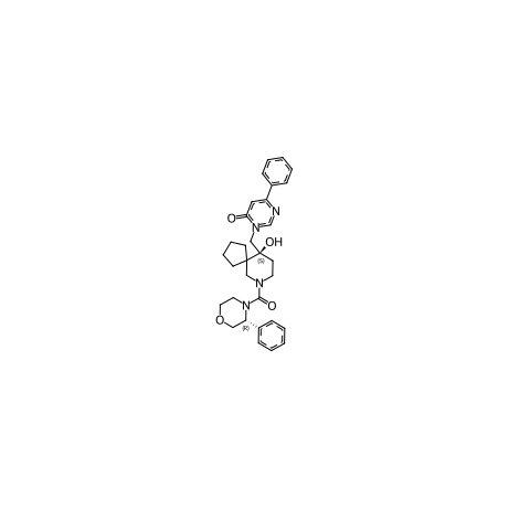 O=C(N1CC[C@@](O)(Cn2cnc(-c3ccccc3)cc2=O)C2(CCCC2)C1)N1CCOC[C@H]1c1ccccc1